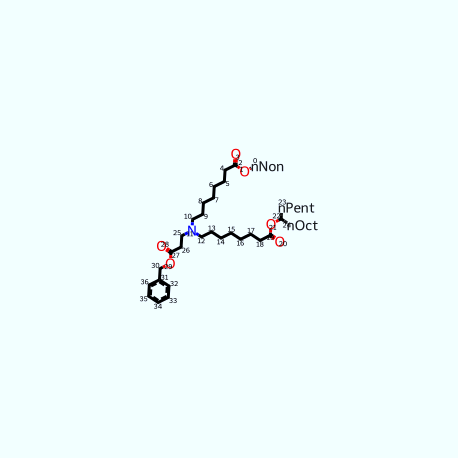 CCCCCCCCCOC(=O)CCCCCCCN(CCCCCCCC(=O)OC(CCCCC)CCCCCCCC)CCC(=O)OCc1ccccc1